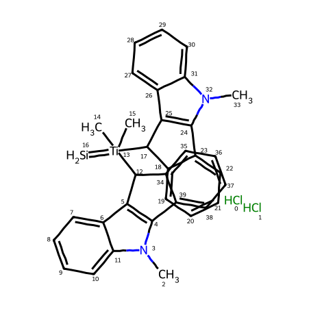 Cl.Cl.Cn1c2c(c3ccccc31)[CH]([Ti]([CH3])([CH3])(=[SiH2])[CH]1c3ccccc3-c3c1c1ccccc1n3C)c1ccccc1-2